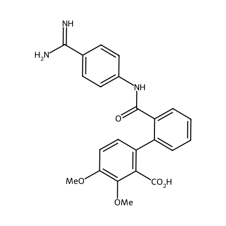 COc1ccc(-c2ccccc2C(=O)Nc2ccc(C(=N)N)cc2)c(C(=O)O)c1OC